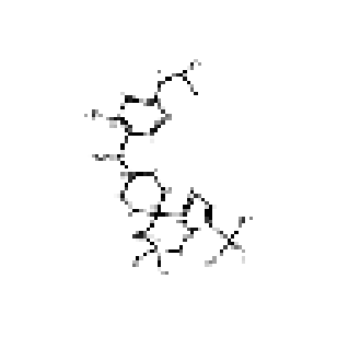 CC(C)Oc1ccc(C(=O)N2CCC3(CC2)NC(C)(C)Cn2c(C(F)(F)F)ccc23)c(F)c1